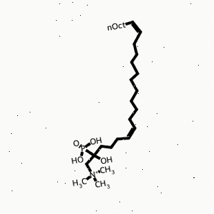 CCCCCCCC/C=C\CCCCCCCCC/C=C\CCCC(O)(C[N+](C)(C)C)P(=O)(O)O